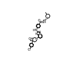 CC1CCCN(CCNC(=O)c2ccc(Nc3nc4c(N5CCC(CO)(c6ccc(Cl)cc6)CC5)cccn4n3)cc2)C1